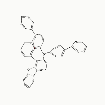 c1ccc(-c2ccc(N(c3ccc(-c4ccccc4)cc3)c3ccc4c(oc5ccccc54)c3-c3ccccc3)cc2)cc1